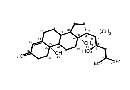 CCC(C[C@@H](O)[C@@H](C)[C@H]1CCC2C3CCC4=CC(=O)CC[C@]4(C)C3CC[C@@]21C)C(C)C